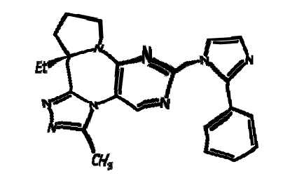 CC[C@@]12CCCN1c1nc(-n3ccnc3-c3ccccc3)ncc1-n1c(C)nnc12